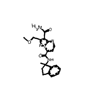 COCc1nn2c(C(=O)NC3(C)CCc4ccccc43)ccnc2c1C(N)=O